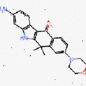 CC1(C)c2cc(N3CCOCC3)ccc2C(=O)c2c1[nH]c1cc(N)ccc21